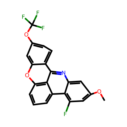 COc1cc(F)c2c(c1)nc1c3c(cccc32)Oc2cc(OC(F)(F)F)ccc2-1